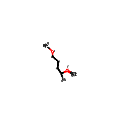 [CH2]CCOCCCC(CC)OCC